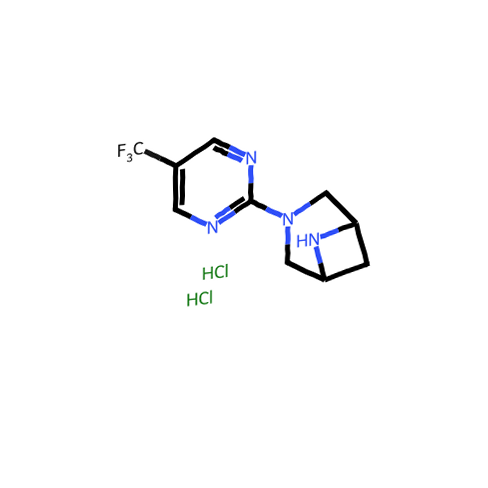 Cl.Cl.FC(F)(F)c1cnc(N2CC3CC(C2)N3)nc1